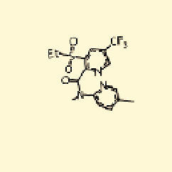 CCS(=O)(=O)c1cc(C(F)(F)F)cnc1C(=O)N(C)c1ccc(C)cn1